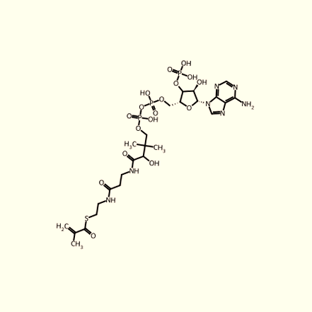 C=C(C)C(=O)SCCNC(=O)CCNC(=O)C(O)C(C)(C)COP(=O)(O)OP(=O)(O)OC[C@H]1O[C@@H](n2cnc3c(N)ncnc32)[C@H](O)C1OP(=O)(O)O